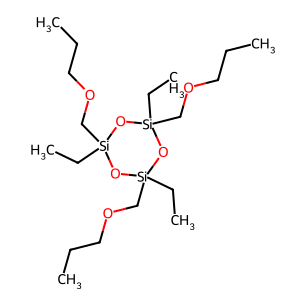 CCCOC[Si]1(CC)O[Si](CC)(COCCC)O[Si](CC)(COCCC)O1